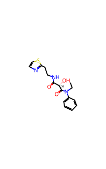 CCN(C(=O)[C@@H](O)C(=O)NCCc1nccs1)c1ccccc1